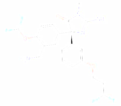 CN1C(=O)[C@@](c2cccc(OCCC(F)F)c2)(c2ccc(OC(F)F)c(CN)c2)N=C1N